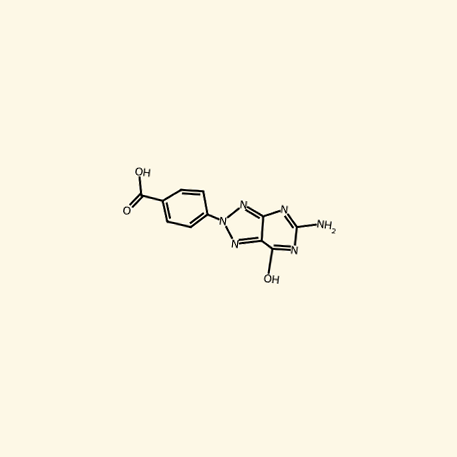 Nc1nc(O)c2nn(-c3ccc(C(=O)O)cc3)nc2n1